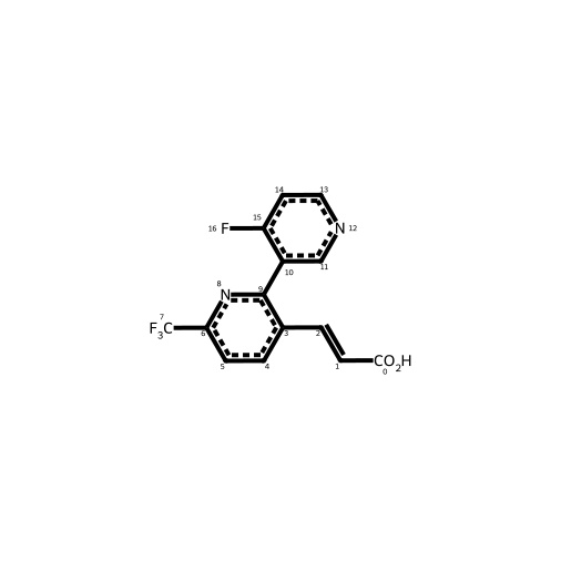 O=C(O)C=Cc1ccc(C(F)(F)F)nc1-c1cnccc1F